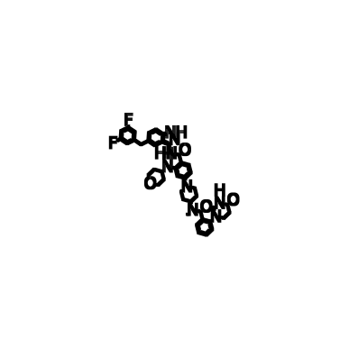 CN(Cc1ccccc1N1CCC(=O)NC1=O)C1CCN(c2ccc(C(=O)Nc3n[nH]c4ccc(Cc5cc(F)cc(F)c5)cc34)c(NC3CCOCC3)c2)CC1